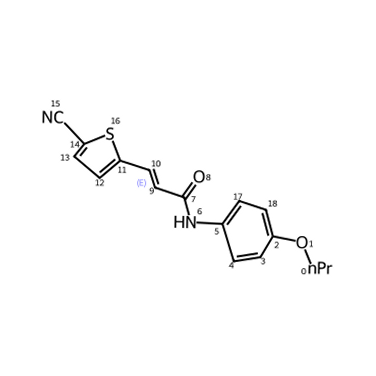 CCCOc1ccc(NC(=O)/C=C/c2ccc(C#N)s2)cc1